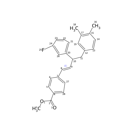 COC(=O)c1ccc(/C=C/C(Cc2ccc(C)c(C)c2)c2cccc(F)c2)cc1